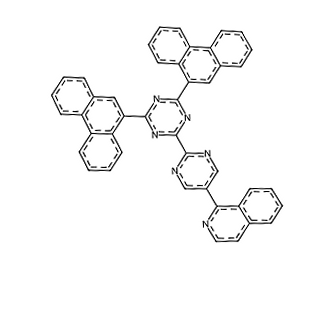 c1ccc2c(-c3cnc(-c4nc(-c5cc6ccccc6c6ccccc56)nc(-c5cc6ccccc6c6ccccc56)n4)nc3)nccc2c1